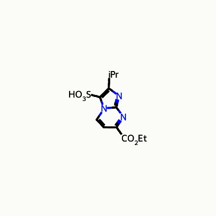 CCOC(=O)c1ccn2c(S(=O)(=O)O)c(C(C)C)nc2n1